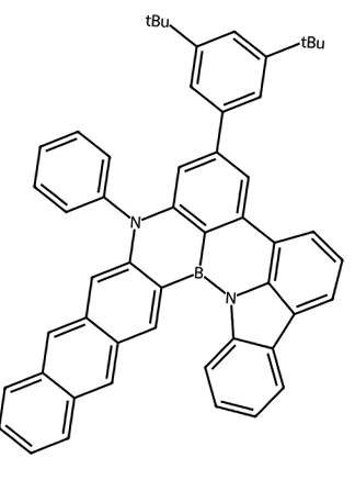 CC(C)(C)c1cc(-c2cc3c4c(c2)N(c2ccccc2)c2cc5cc6ccccc6cc5cc2B4n2c4ccccc4c4cccc-3c42)cc(C(C)(C)C)c1